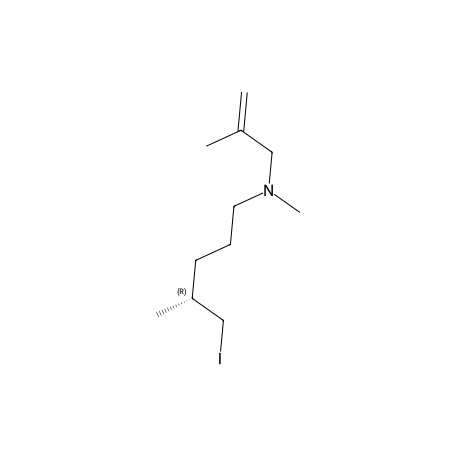 C=C(C)CN(C)CCC[C@@H](C)CI